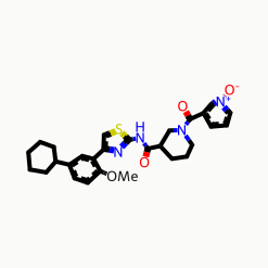 COc1ccc(C2CCCCC2)cc1-c1csc(NC(=O)C2CCCN(C(=O)c3ccc[n+]([O-])c3)C2)n1